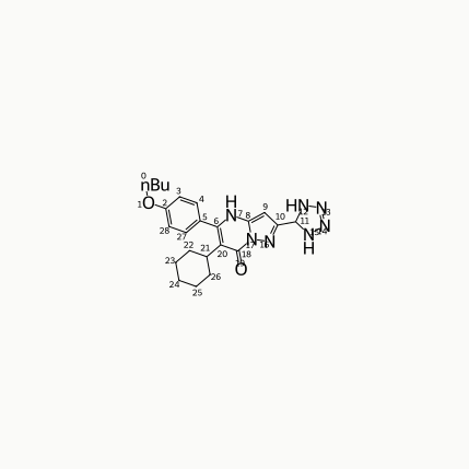 CCCCOc1ccc(-c2[nH]c3cc(C4NN=NN4)nn3c(=O)c2C2CCCCC2)cc1